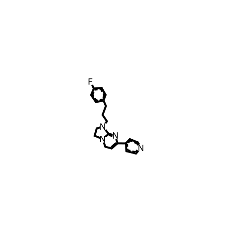 Fc1ccc(CCCN2CCN3CC=C(c4ccncc4)N=C32)cc1